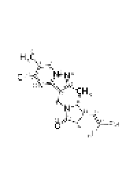 Cc1cn2nc(C)c(CN3CC(C=C(F)F)CC3=O)c2nc1Cl